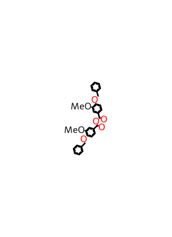 COc1cc(C(=O)OC(=O)c2ccc(OCc3ccccc3)c(OC)c2)ccc1OCc1ccccc1